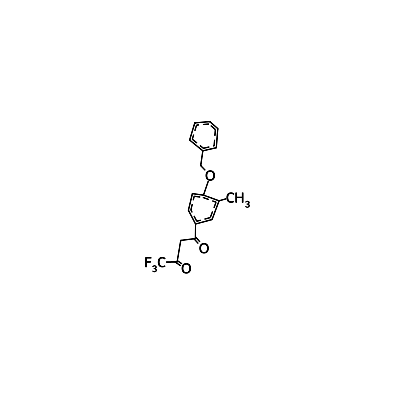 Cc1cc(C(=O)CC(=O)C(F)(F)F)ccc1OCc1ccccc1